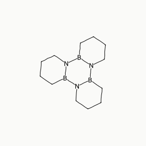 C1CCN2B(C1)N1CCCCB1N1CCCCB21